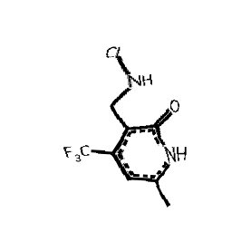 Cc1cc(C(F)(F)F)c(CNCl)c(=O)[nH]1